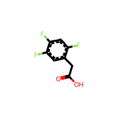 O=C(O)Cc1cc(F)c(F)cc1F